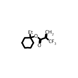 C=C(C(=O)OC1(CC)CCCCC1)C(F)(F)F